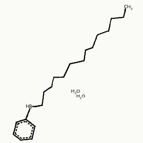 CCCCCCCCCCCCCCBc1ccccc1.O.O